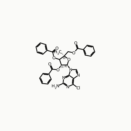 C[C@]1(COC(=O)c2ccccc2)O[C@@H](n2cnc3c(Cl)nc(N)nc32)[C@@H](OC(=O)c2ccccc2)C1OC(=O)c1ccccc1